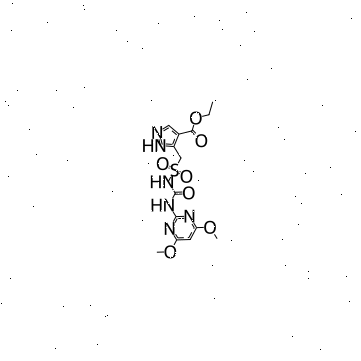 CCOC(=O)c1cn[nH]c1CS(=O)(=O)NC(=O)Nc1nc(OC)cc(OC)n1